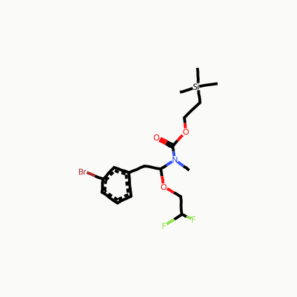 CN(C(=O)OCC[Si](C)(C)C)C(Cc1cccc(Br)c1)OCC(F)F